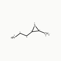 [CH2]C1SC1CCCCC